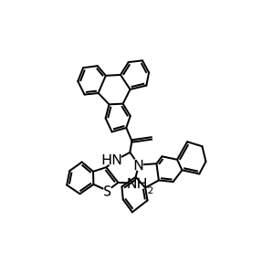 C=C(c1ccc2c3ccccc3c3ccccc3c2c1)C(Nc1c(N)sc2ccccc12)n1c2ccccc2c2cc3c(cc21)=CCCC=3